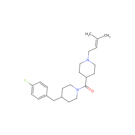 CC(C)=CCN1CCC(C(=O)N2CCC(Cc3ccc(F)cc3)CC2)CC1